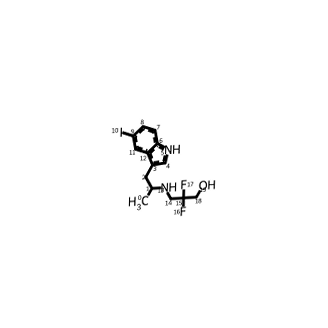 CC(Cc1c[nH]c2ccc(I)cc12)NCC(F)(F)CO